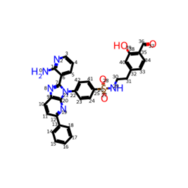 Nc1ncccc1-c1nc2ccc(-c3ccccc3)nc2n1-c1ccc(S(=O)(=O)NCCc2ccc(C=O)c(O)c2)cc1